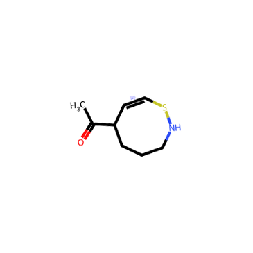 CC(=O)C1/C=C\SNCCC1